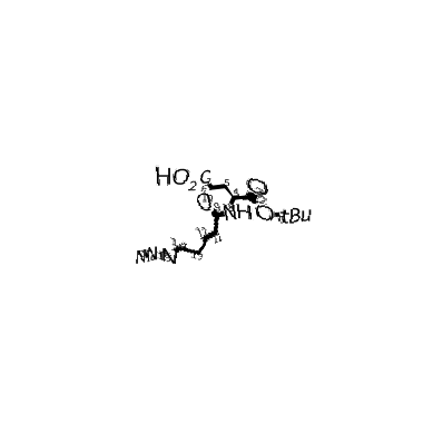 CC(C)(C)OC(=O)[C@H](CCC(=O)O)NC(=O)CCCCN=[N+]=[N-]